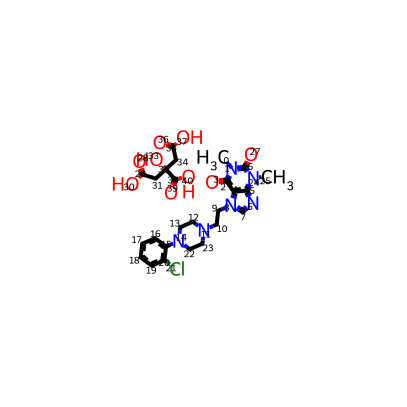 Cn1c(=O)c2c(ncn2CCN2CCN(c3ccccc3Cl)CC2)n(C)c1=O.O=C(O)CC(O)(CC(=O)O)C(=O)O